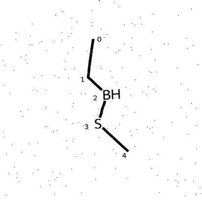 CCBSC